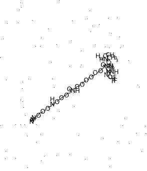 CC(C)(C)N[C@@H]1CC[C@H](N2CC[C@H](Nc3ncnc4ccc(C(F)(F)F)cc34)C2=O)[C@H](NC(=O)CCOCCOCCOCCOCCOCCOCCNC(=O)CCOCCOCCOCCNCCOCCOCCOCCN=[N+]=[N-])C1